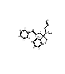 C=CCN(C)C(CC)(CC=Cc1ccccc1)c1ccccc1